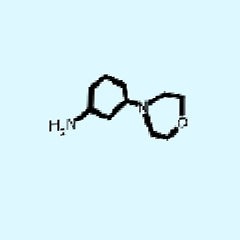 NC1CCCC(N2CCOCC2)C1